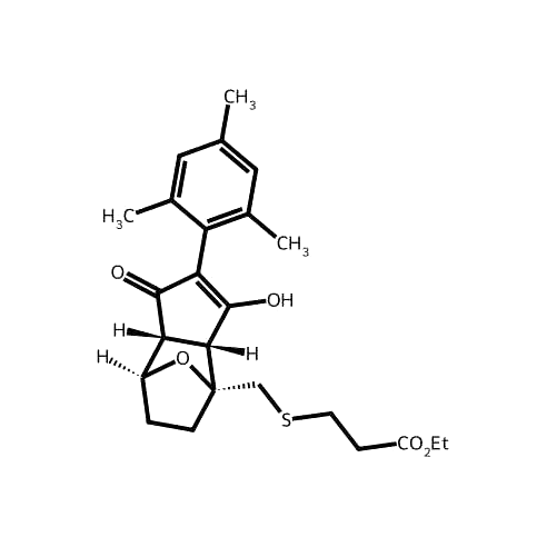 CCOC(=O)CCSC[C@]12CC[C@H](O1)[C@@H]1C(=O)C(c3c(C)cc(C)cc3C)=C(O)[C@@H]12